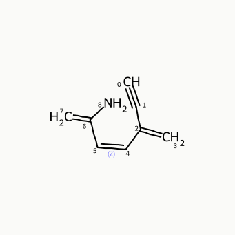 C#CC(=C)/C=C\C(=C)N